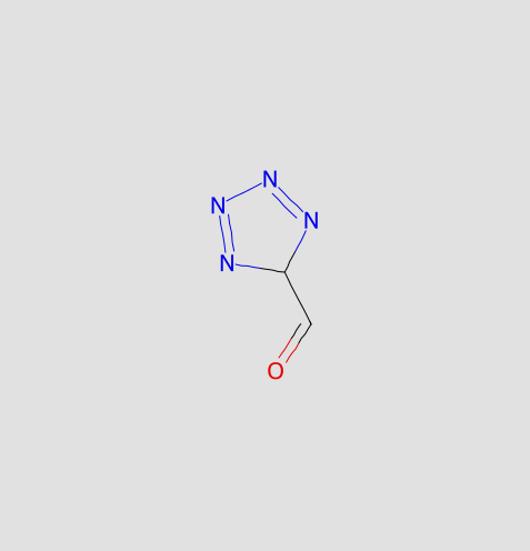 O=CC1N=NN=N1